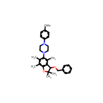 COc1ccc(N2CCN(c3c(C)c(C)c4c(c3C)C(OCc3ccccc3)C(C)(C)O4)CC2)cc1